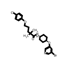 CC(C)(CCCOc1ccc(Cl)cc1)C(=O)N[C@H]1CC[C@H](Oc2cncc(Br)c2)CC1